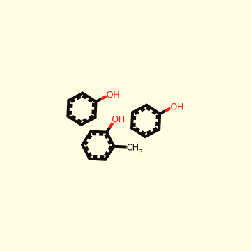 Cc1ccccc1O.Oc1ccccc1.Oc1ccccc1